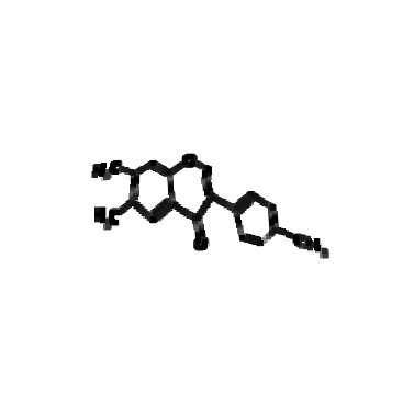 Cc1ccc(-c2coc3cc(C)c(C)cc3c2=O)cc1